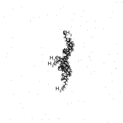 CCCCCCc1sc(-c2sc(-c3cnc(-c4cc5c(s4)-c4sc(-c6ncc(-c7sc(-c8sc(CCCCCC)c(F)c8F)c(F)c7F)c7nsnc67)cc4[Si]5(CC(CC)CCCC)CC(CC)CCCC)c4nsnc34)c(F)c2F)c(F)c1F